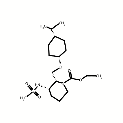 CCOC(=O)N1CCC[C@H](NS(C)(=O)=O)[C@@H]1CO[C@H]1CC[C@@H](C(C)C)CC1